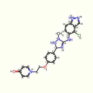 CN1NC(c2ccc(OCCn3ccc(=O)cc3)cc2)N=C1Nc1ccc2[nH]ncc2c1Cl